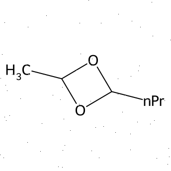 CCCC1OC(C)O1